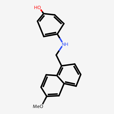 COc1ccc2c(CNc3ccc(O)cc3)cccc2c1